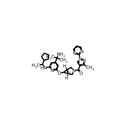 Cc1nn(-c2ncccn2)cc1C(=O)N1C[C@@H]2C(Oc3cc(C(C)(C)N)cc(NC(C)C4CCCC4)n3)[C@@H]2C1